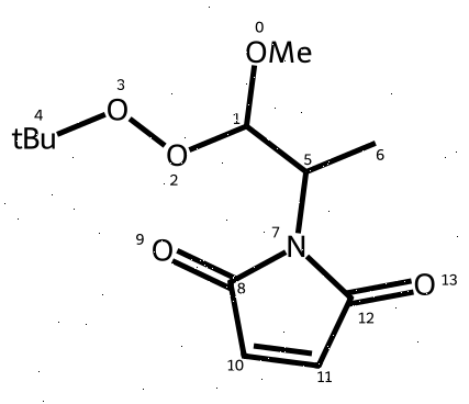 COC(OOC(C)(C)C)C(C)N1C(=O)C=CC1=O